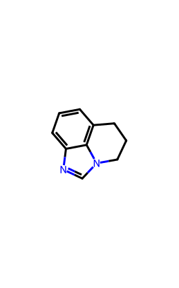 c1cc2c3c(c1)ncn3CCC2